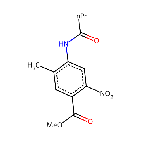 CCCC(=O)Nc1cc([N+](=O)[O-])c(C(=O)OC)cc1C